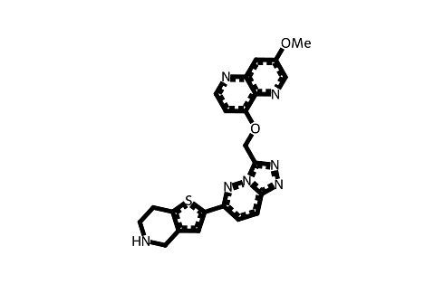 COc1cnc2c(OCc3nnc4ccc(-c5cc6c(s5)CCNC6)nn34)ccnc2c1